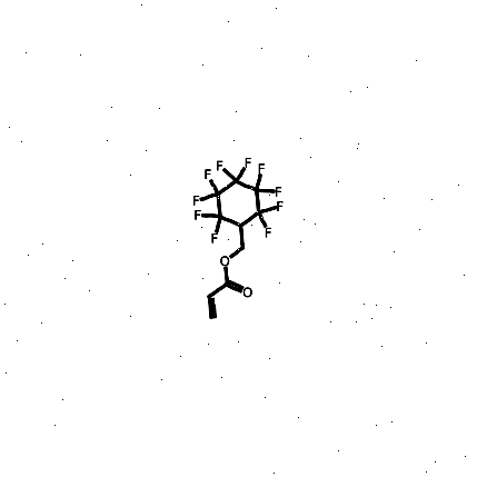 C=CC(=O)OCC1C(F)(F)C(F)(F)C(F)(F)C(F)(F)C1(F)F